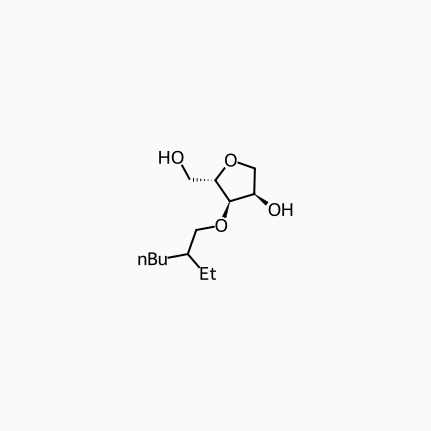 CCCCC(CC)CO[C@@H]1[C@H](O)CO[C@H]1CO